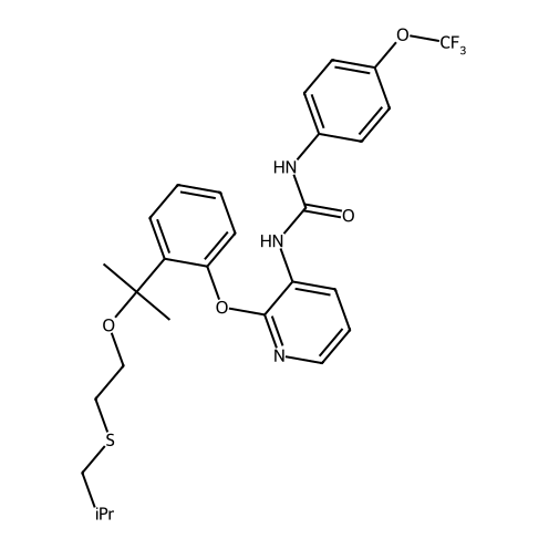 CC(C)CSCCOC(C)(C)c1ccccc1Oc1ncccc1NC(=O)Nc1ccc(OC(F)(F)F)cc1